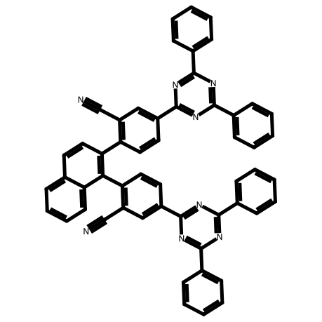 N#Cc1cc(-c2nc(-c3ccccc3)nc(-c3ccccc3)n2)ccc1-c1ccc2ccccc2c1-c1ccc(-c2nc(-c3ccccc3)nc(-c3ccccc3)n2)cc1C#N